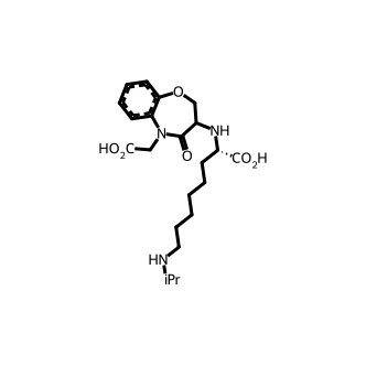 CC(C)NCCCCCC[C@H](NC1COc2ccccc2N(CC(=O)O)C1=O)C(=O)O